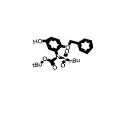 CCCCS(=O)(=O)N(C(=O)OC(C)(C)C)c1cc(O)ccc1OCc1ccccc1